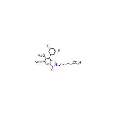 COc1cc2c(c(-c3cc(F)cc(F)c3)c1OC)CN(CCCCCC(=O)O)C2=O